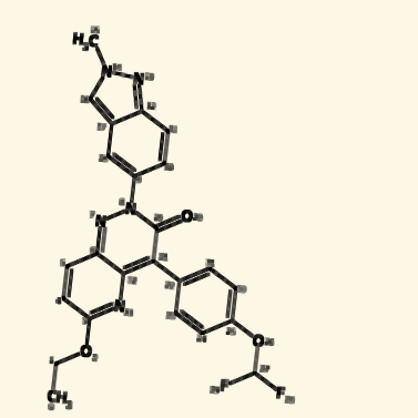 CCOc1ccc2nn(-c3ccc4nn(C)cc4c3)c(=O)c(-c3ccc(OC(F)F)cc3)c2n1